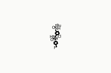 CC(C)(C)C(=O)NCc1ccc(Cl)c(-c2nn(-c3ccc(CF)cc3)c(=O)[nH]2)c1